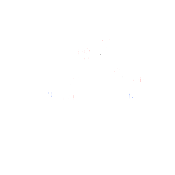 CC(COC(C)(C)C(O)CN1CC1C)CC(CO)(CO)COC(C)(C)COC(C)(C)C(O)CN1CC1C